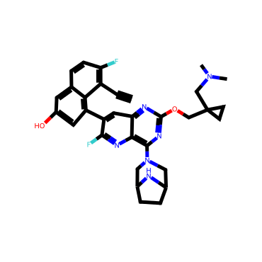 C#Cc1c(F)ccc2cc(O)cc(-c3cc4nc(OCC5(CN(C)C)CC5)nc(N5CC6CCC(C5)N6)c4nc3F)c12